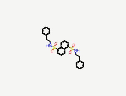 O=S(=O)(NCCc1ccccc1)c1cccc2c(S(=O)(=O)NCCc3ccccc3)cccc12